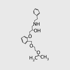 C=C(C)OCCOCc1ccccc1OCC(O)CNCCc1ccccc1